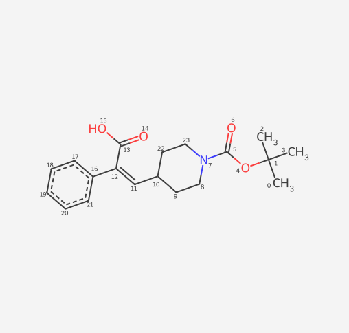 CC(C)(C)OC(=O)N1CCC(C=C(C(=O)O)c2ccccc2)CC1